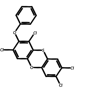 Clc1cc2c(cc1Cl)Sc1c(cc(Cl)c(Oc3ccccc3)c1Cl)O2